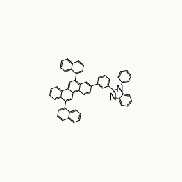 c1ccc(-n2c(-c3cccc(-c4ccc5c(c4)c(-c4cccc6ccccc46)cc4c6ccccc6c(-c6cccc7ccccc67)cc54)c3)nc3ccccc32)cc1